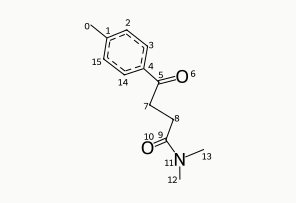 Cc1ccc(C(=O)CCC(=O)N(C)C)cc1